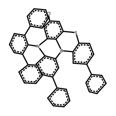 Clc1cc2c3c(c1)N(c1c(-c4ccccc4)cccc1-c1ccccc1)c1ccc(-c4ccccc4)cc1B3c1cc(-c3ccccc3)ccc1S2